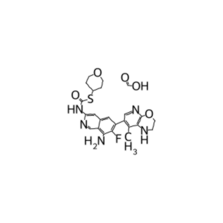 Cc1c(-c2cc3cc(NC(=O)SC4CCOCC4)ncc3c(N)c2F)cnc2c1NCCO2.O=CO